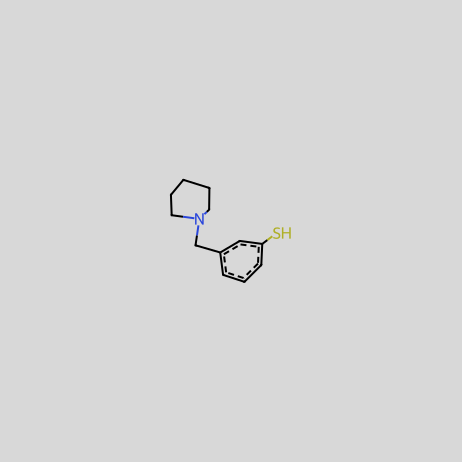 Sc1cccc(CN2CCCCC2)c1